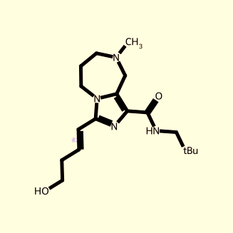 CN1CCCn2c(/C=C/CCO)nc(C(=O)NCC(C)(C)C)c2C1